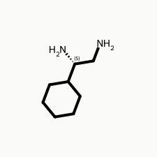 NC[C@@H](N)C1CCCCC1